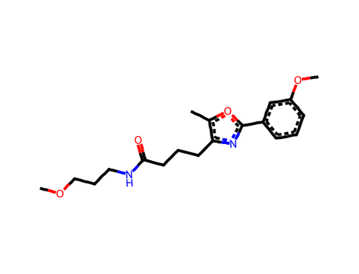 COCCCNC(=O)CCCc1nc(-c2cccc(OC)c2)oc1C